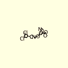 COC(=O)c1cc(OCCN2CCC(c3cc(Cl)cc(Cl)c3)CC2)cc2nccn12